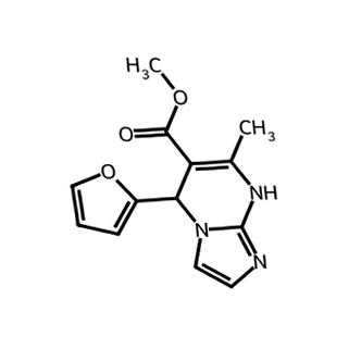 COC(=O)C1=C(C)Nc2nccn2C1c1ccco1